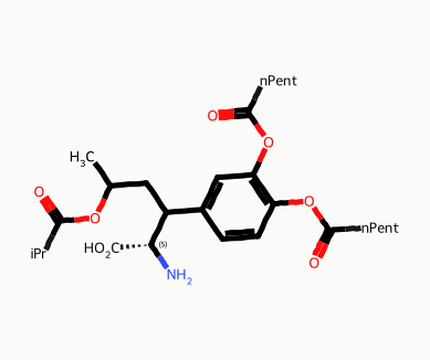 CCCCCC(=O)Oc1ccc(C(CC(C)OC(=O)C(C)C)[C@H](N)C(=O)O)cc1OC(=O)CCCCC